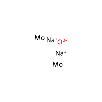 [Mo].[Mo].[Na+].[Na+].[O-2]